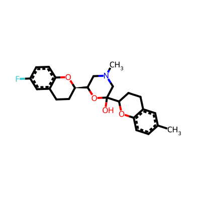 Cc1ccc2c(c1)CCC(C1(O)CN(C)CC([C@H]3CCc4cc(F)ccc4O3)O1)O2